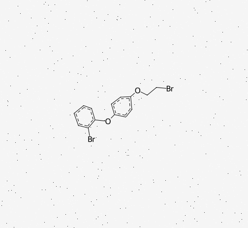 BrCCOc1ccc(Oc2ccccc2Br)cc1